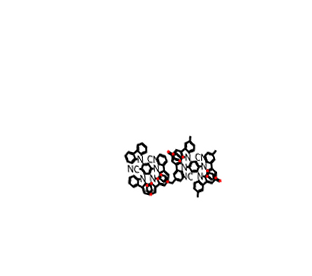 Cc1ccc2c(c1)c1cc(C)ccc1n2-c1c(C#N)c(-n2c3ccc(C)cc3c3cc(C)ccc32)c(-n2c3ccc(C)cc3c3cc(Cc4ccc5c(c4)c4ccccc4n5-c4c(-n5c6ccccc6c6ccccc65)c(C#N)c(-n5c6ccccc6c6ccccc65)c(C#N)c4-n4c5ccccc5c5ccccc54)ccc32)c(C#N)c1-n1c2ccc(C)cc2c2cc(C)ccc21